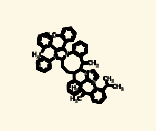 C=C1c2ccccc2N2C(c3ccccc3C)=C(c3ccccc3C)N(c3ccccc3)C2CCC2c3ccccc3-c3n(-c4c(C(C)C)cccc4C(C)C)cc[n+]3C12